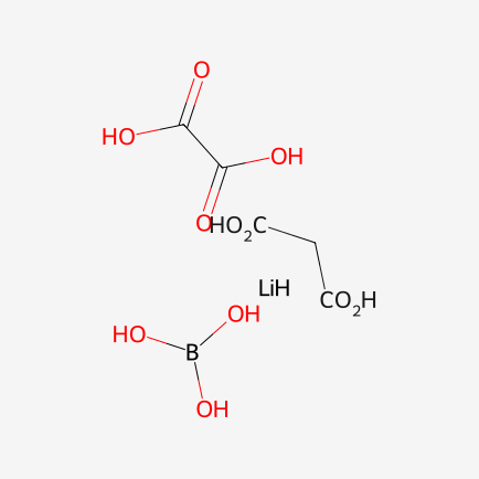 O=C(O)C(=O)O.O=C(O)CC(=O)O.OB(O)O.[LiH]